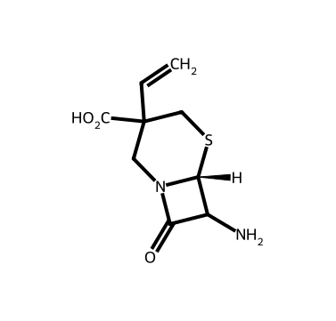 C=CC1(C(=O)O)CS[C@@H]2C(N)C(=O)N2C1